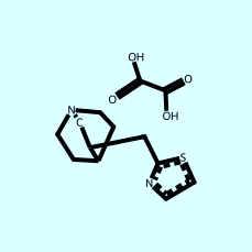 O=C(O)C(=O)O.c1csc(CC2CN3CCC2CC3)n1